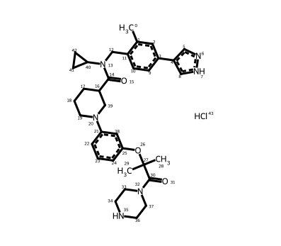 Cc1cc(-c2cn[nH]c2)ccc1CN(C(=O)C1CCCN(c2cccc(OC(C)(C)C(=O)N3CCNCC3)c2)C1)C1CC1.Cl